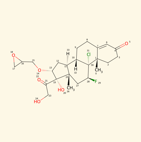 C[C@]12CCC(=O)C=C1CC[C@H]1[C@@H]3C[C@@H](OCC4CO4)[C@](O)(C(=O)CO)[C@@]3(C)C[C@H](F)[C@@]12Cl